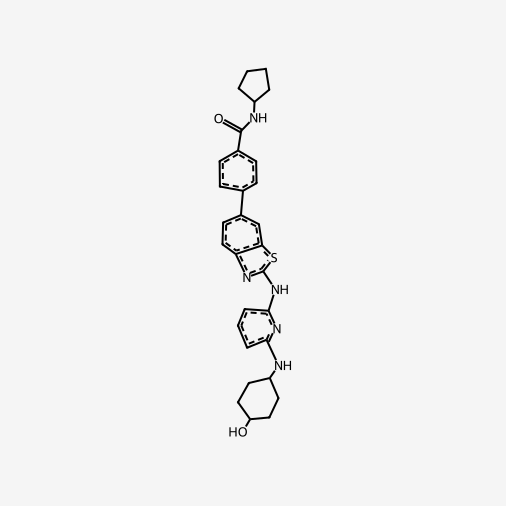 O=C(NC1CCCC1)c1ccc(-c2ccc3nc(Nc4cccc(NC5CCC(O)CC5)n4)sc3c2)cc1